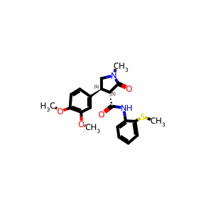 COc1ccc([C@H]2CN(C)C(=O)[C@@H]2C(=O)Nc2ccccc2SC)cc1OC